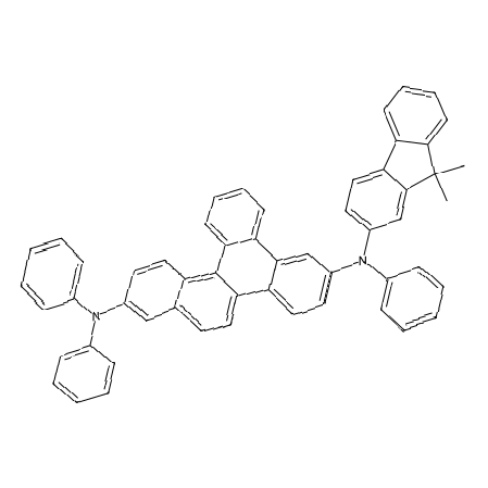 CC1(C)c2ccccc2-c2ccc(N(c3ccccc3)c3ccc4c(c3)c3ccccc3c3c5ccc(N(c6ccccc6)c6ccccc6)cc5ccc43)cc21